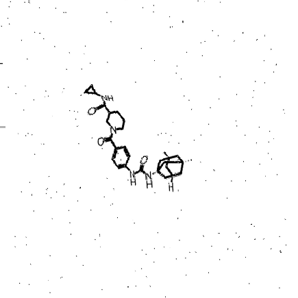 C[C@]12C[C@@H]3C[C@](C)(C1)C[C@@](NC(=O)Nc1ccc(C(=O)N4CCCC(C(=O)NC5CC5)C4)cc1)(C3)C2